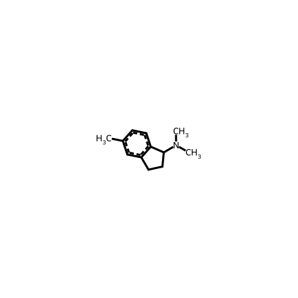 Cc1ccc2c(c1)CCC2N(C)C